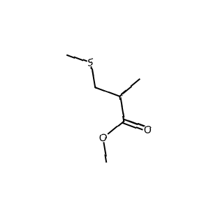 COC(=O)C(C)CSC